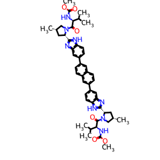 COC(=O)N[C@H](C(=O)N1C[C@@H](C)C[C@H]1c1nc2cc(-c3ccc4cc(-c5ccc6[nH]c([C@@H]7C[C@H](C)CN7C(=O)[C@@H](NC(=O)OC)C(C)C)nc6c5)ccc4c3)ccc2[nH]1)C(C)C